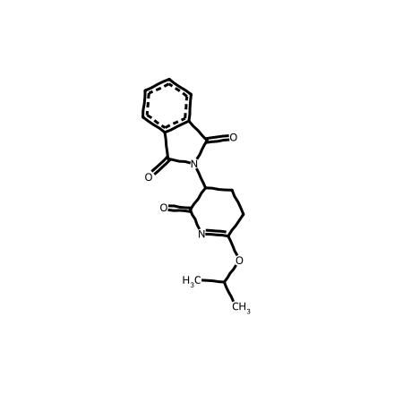 CC(C)OC1=NC(=O)C(N2C(=O)c3ccccc3C2=O)CC1